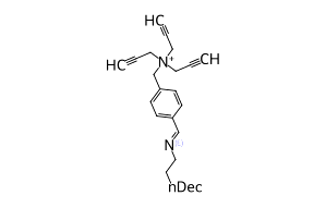 C#CC[N+](CC#C)(CC#C)Cc1ccc(/C=N/CCCCCCCCCCCC)cc1